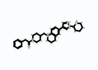 O=C(Cc1ccccc1)N1CCC(CN2CCCc3cc(-c4cnn(C5CCCCO5)c4)ccc32)CC1